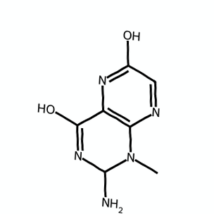 CN1c2ncc(O)nc2C(O)=NC1N